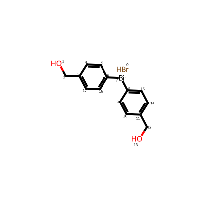 Br.OCc1cc[c]([Bi][c]2ccc(CO)cc2)cc1